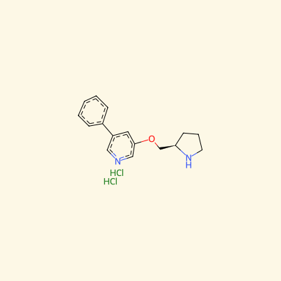 Cl.Cl.c1ccc(-c2cncc(OC[C@H]3CCCN3)c2)cc1